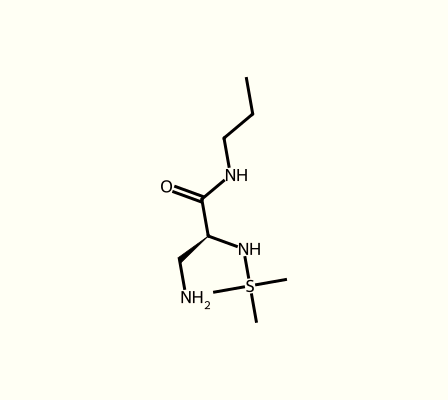 CCCNC(=O)[C@H](CN)NS(C)(C)C